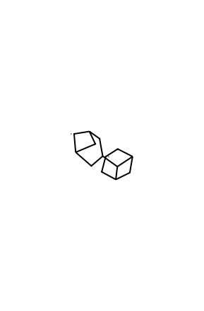 [CH]1CC2CC(C1)C2C1CC2[CH]C(C2)C1